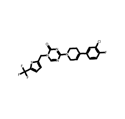 O=c1nc(N2CC=C(c3ccc(F)c(Cl)c3)CC2)ncn1Cc1ccc(C(F)(F)F)s1